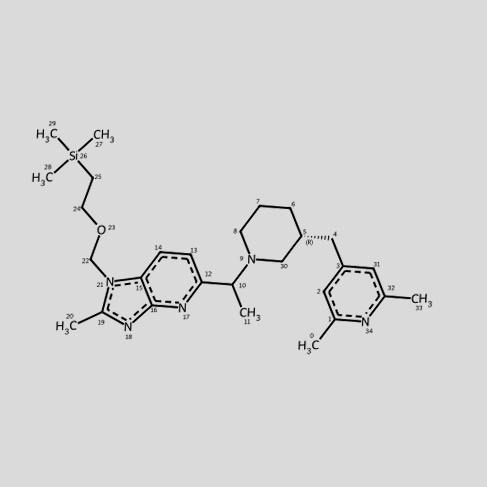 Cc1cc(C[C@H]2CCCN(C(C)c3ccc4c(n3)nc(C)n4COCC[Si](C)(C)C)C2)cc(C)n1